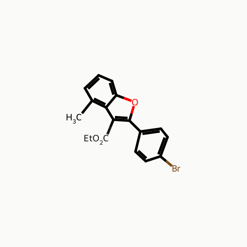 CCOC(=O)c1c(-c2ccc(Br)cc2)oc2cccc(C)c12